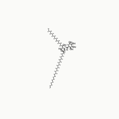 CCCCCCCCCCCCCCCCCCCCCCCCCC(=O)N[C@@H](CN[C@H]1C[C@H](O)[C@@H](O)[C@H](O)[C@H]1O)[C@H](O)[C@H](O)CCCCCCCCCCCCCC